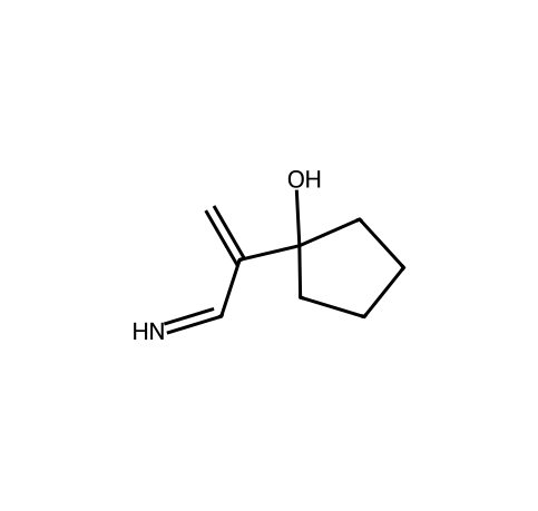 C=C(C=N)C1(O)CCCC1